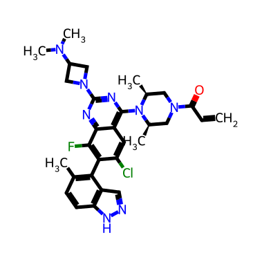 C=CC(=O)N1C[C@@H](C)N(c2nc(N3CC(N(C)C)C3)nc3c(F)c(-c4c(C)ccc5[nH]ncc45)c(Cl)cc23)[C@@H](C)C1